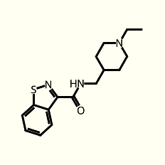 CCN1CCC(CNC(=O)c2nsc3ccccc23)CC1